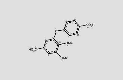 COc1cc(C(=O)O)cc(Oc2ccc(C(=O)O)cc2)c1OC